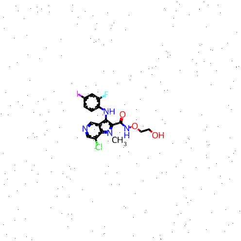 Cn1c(C(=O)NOCCO)c(Nc2ccc(I)cc2F)c2cncc(Cl)c21